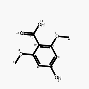 COc1cc(O)cc(OC)c1C(=O)O